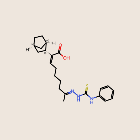 CC(CCCCC=C(C(=O)O)[C@@H]1C[C@H]2CC[C@@H]1C2)=NNC(=S)Nc1ccccc1